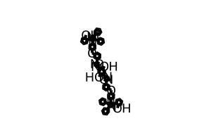 Oc1cc(-c2nnc(-c3cccc(Oc4ccc(-n5c(-c6ccccc6O)nc(-c6ccccc6)c5-c5ccccc5)cc4)c3)o2)c(O)cc1-c1nnc(-c2cccc(Oc3ccc(-n4c(-c5ccccc5O)nc(-c5ccccc5)c4-c4ccccc4)cc3)c2)o1